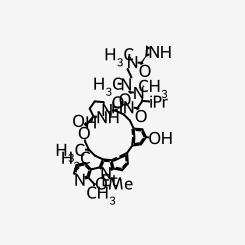 CCn1c(-c2cccnc2[C@H](C)OC)c2c3cc(ccc31)-c1cc(O)cc(c1)C[C@H](NC(=O)C(C(C)C)N(C)C(=O)N(C)CCN(C)C(=O)[C@H]1CN1)C(=O)N1CCC[C@H](N1)C(=O)OCC(C)(C)C2